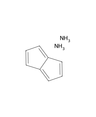 C1=CC2=CC=CC2=C1.N.N